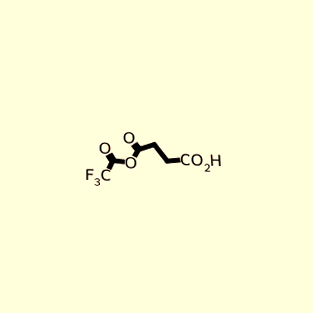 O=C(O)CCC(=O)OC(=O)C(F)(F)F